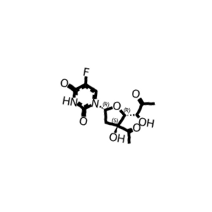 CC(=O)C(O)[C@H]1O[C@@H](n2cc(F)c(=O)[nH]c2=O)C[C@@]1(O)C(C)=O